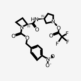 O=C(N[C@H]1CCN(OC(=O)C(F)(F)F)C1)[C@@H]1CCN1C(=O)OCc1ccc([N+](=O)[O-])cc1